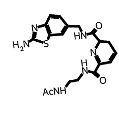 CC(=O)NCCNC(=O)C1=NC(C(=O)NCc2ccc3nc(N)sc3c2)CC=C1